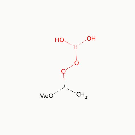 COC(C)OOB(O)O